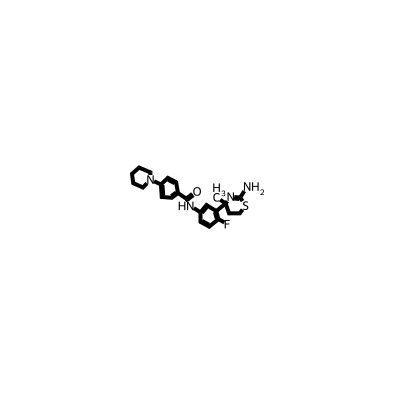 CC1(c2cc(NC(=O)c3ccc(N4CCCCC4)cc3)ccc2F)CCSC(N)=N1